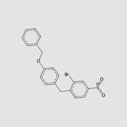 O=[SH](=O)c1ccc(Cc2ccc(OCc3ccccc3)cc2)c(Br)c1